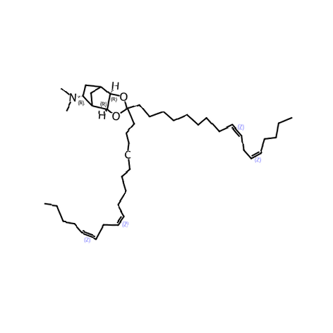 CCCC/C=C\C/C=C\CCCCCCCCC1(CCCCCCCC/C=C\C/C=C\CCCC)O[C@@H]2C3CC([C@H]2O1)[C@H](N(C)C)C3